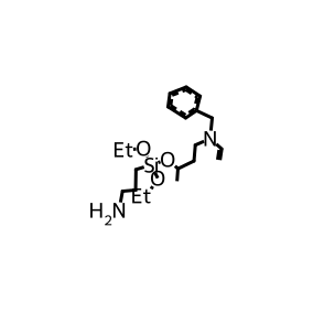 C=CN(CCC(C)O[Si](CCCN)(OCC)OCC)Cc1ccccc1